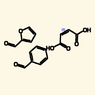 O=C(O)/C=C\C(=O)O.O=Cc1ccccc1.O=Cc1ccco1